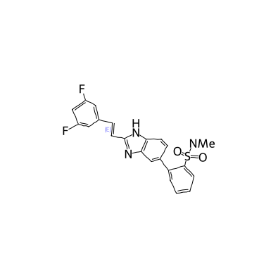 CNS(=O)(=O)c1ccccc1-c1ccc2[nH]c(/C=C/c3cc(F)cc(F)c3)nc2c1